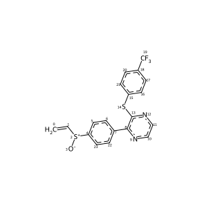 C=C[S+]([O-])c1ccc(-c2nccnc2Sc2ccc(C(F)(F)F)cc2)cc1